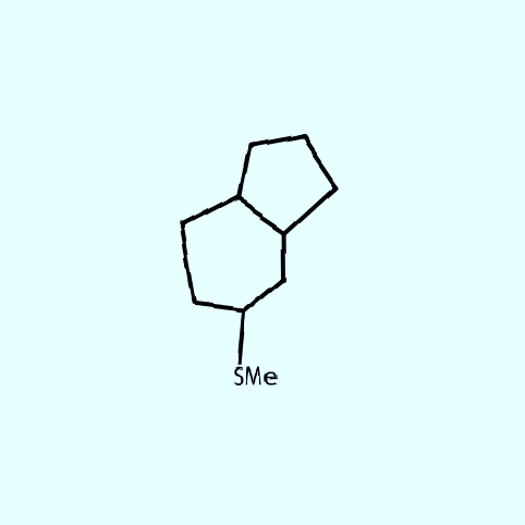 CSC1CCC2CCCC2C1